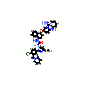 CC(C)(C)c1cc(NC(=O)N[C@H]2CC[C@@H](Oc3ccc(=N)n(C(=N)N4CCCCC4)c3)c3ccccc32)n(-c2ccc(Cl)c(CN3CCCCC3)c2)n1